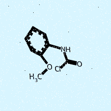 COc1ccccc1NC(=O)Cl